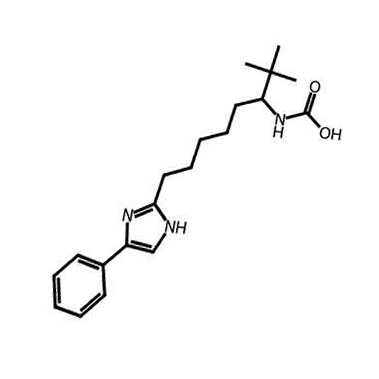 CC(C)(C)C(CCCCCc1nc(-c2ccccc2)c[nH]1)NC(=O)O